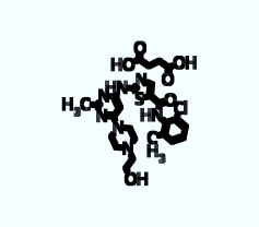 Cc1nc(Nc2ncc(C(=O)Nc3c(C)cccc3Cl)s2)cc(N2CCN(CCO)CC2)n1.O=C(O)CCC(=O)O